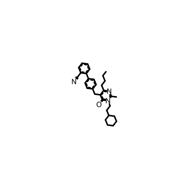 CCCCc1nc(C)n(CCC2CCCCC2)c(=O)c1Cc1ccc(-c2ccccc2C#N)cc1